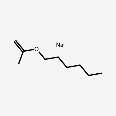 C=C(C)OCCCCCC.[Na]